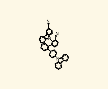 N#Cc1ccc2c(c1)c1ccccc1n2-c1c(C#N)cccc1-c1ccccc1-c1ccc(-n2c3ccccc3c3ccccc32)cc1